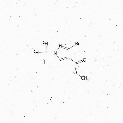 [2H]C([2H])([2H])n1cc(C(=O)OC)c(Br)n1